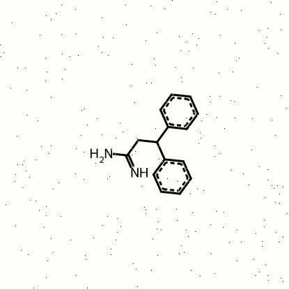 N=C(N)CC(c1ccccc1)c1ccccc1